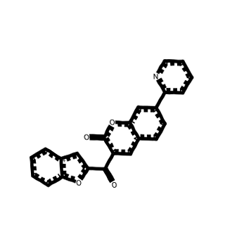 O=C(c1cc2ccccc2o1)c1cc2ccc(-c3ccccn3)cc2oc1=O